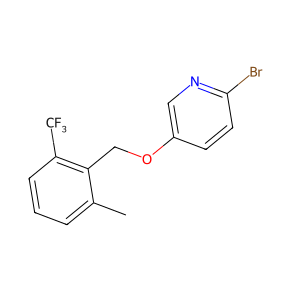 Cc1cccc(C(F)(F)F)c1COc1ccc(Br)nc1